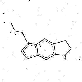 CCCn1ccc2cc3c(cc21)CCN3